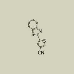 N#Cc1csc(-c2nc3ccccc3s2)c1